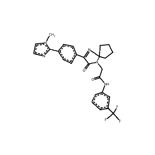 Cn1ccnc1-c1ccc(C2=NC3(CCCC3)N(CC(=O)Nc3cccc(C(F)(F)F)c3)C2=O)cc1